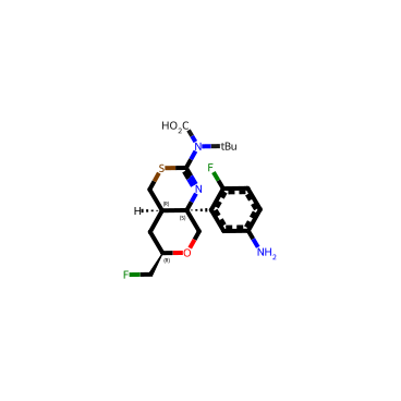 CC(C)(C)N(C(=O)O)C1=N[C@@]2(c3cc(N)ccc3F)CO[C@@H](CF)C[C@H]2CS1